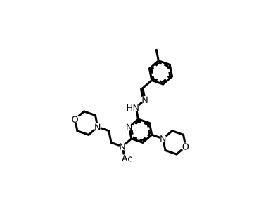 CC(=O)N(CCN1CCOCC1)c1cc(N2CCOCC2)cc(NN=Cc2cccc(C)c2)n1